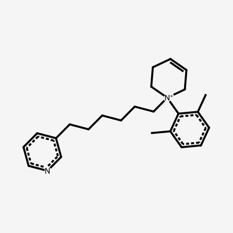 Cc1cccc(C)c1[N+]1(CCCCCCc2cccnc2)CC=CCC1